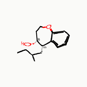 CCC(C)C[C@H]1c2ccccc2OCC[C@H]1O